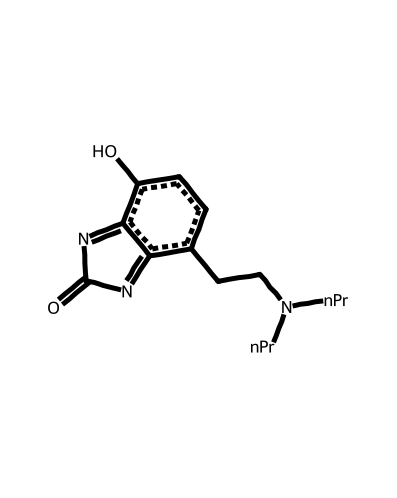 CCCN(CCC)CCc1ccc(O)c2c1=NC(=O)N=2